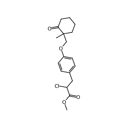 COC(=O)C(Cl)Cc1ccc(OCC2(C)CCCCC2=O)cc1